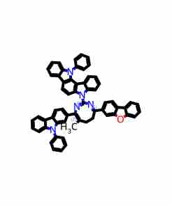 C/C1=C(c2ccc3c4ccccc4n(-c4ccccc4)c3c2)/N=C(n2c3ccccc3c3c2ccc2c4ccccc4n(-c4ccccc4)c23)\N=C(\c2ccc3c(c2)oc2ccccc23)CC1